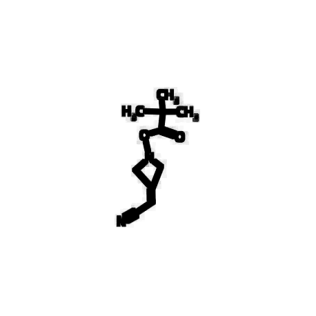 CC(C)(C)C(=O)ON1CC(=CC#N)C1